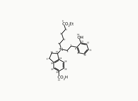 CCOC(=O)CCCCN(CCc1ccccc1O)C1CCc2cc(C(=O)O)ccc21